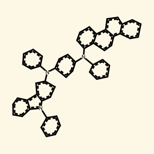 c1ccc(N(c2ccc(N(c3ccccc3)c3cccc4c3ccc3c5ccccc5ccc43)cc2)c2ccc3c(c2)c2ccccc2n3-c2ccccc2)cc1